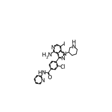 Nc1ncc(I)c2c1c(-c1ccc(C(=O)Nc3ccccn3)cc1Cl)nn2C1CCCNC1